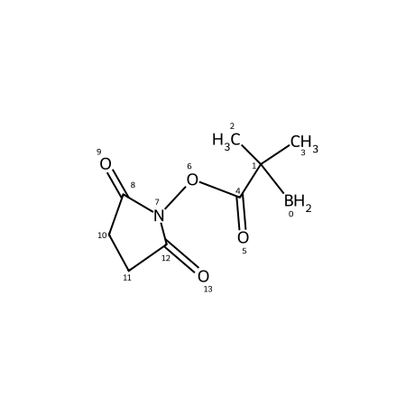 BC(C)(C)C(=O)ON1C(=O)CCC1=O